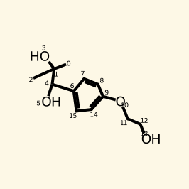 CC(C)(O)C(O)c1ccc(OCCO)cc1